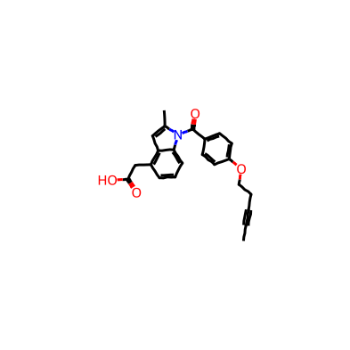 CC#CCCOc1ccc(C(=O)n2c(C)cc3c(CC(=O)O)cccc32)cc1